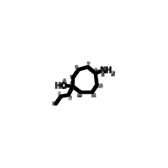 CCCC1(O)CCCC(N)CCC1